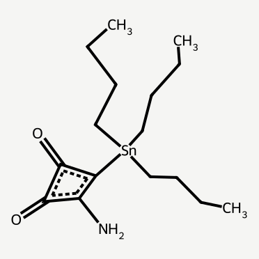 CCC[CH2][Sn]([CH2]CCC)([CH2]CCC)[c]1c(N)c(=O)c1=O